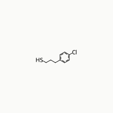 SCCCc1ccc(Cl)cc1